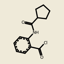 O=C(Cl)c1ccccc1NC(=O)C1CCCC1